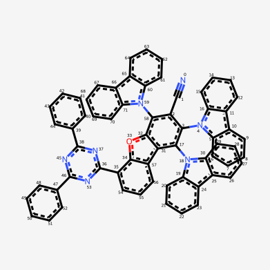 N#Cc1c(-n2c3ccccc3c3ccccc32)c(-n2c3ccccc3c3ccccc32)c2c(oc3c(-c4nc(-c5ccccc5)nc(-c5ccccc5)n4)cccc32)c1-n1c2ccccc2c2ccccc21